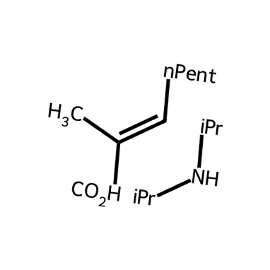 CC(C)NC(C)C.CCCCCC=C(C)C(=O)O